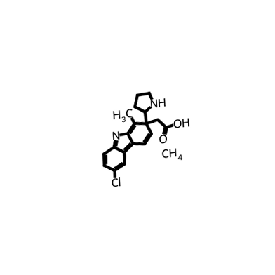 C.CC1=C2N=c3ccc(Cl)cc3=C2C=CC1(CC(=O)O)C1CCCN1